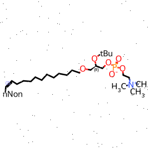 CCCCCCCCC/C=C\CCCCCCCCCCCOC[C@H](COP(=O)([O-])OCC[N+](C)(C)C)OC(C)(C)C